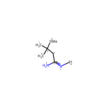 CC/N=C(/N)CC(C)(C)OC